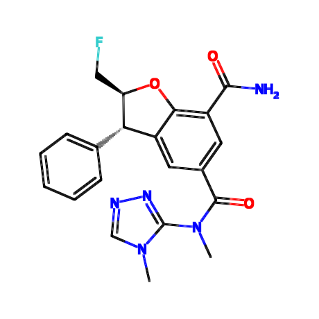 CN(C(=O)c1cc(C(N)=O)c2c(c1)[C@H](c1ccccc1)[C@@H](CF)O2)c1nncn1C